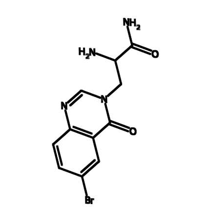 NC(=O)C(N)Cn1cnc2ccc(Br)cc2c1=O